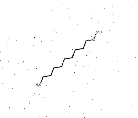 CCCCCCCCCC[O][SnH]